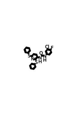 O=C(Nc1ccc(F)c(Cl)c1)Nc1ccc(Sc2ccccc2)nc1Sc1ccccc1